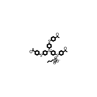 CC(=O)c1ccc(Sc2ccc([S+](c3ccc(Sc4ccc(C(C)=O)cc4)cc3)c3ccc(Sc4ccc(C(C)=O)cc4)cc3)cc2)cc1.CCCCS(=O)(=O)[O-]